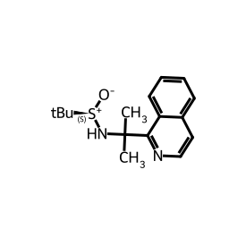 CC(C)(N[S@+]([O-])C(C)(C)C)c1nccc2ccccc12